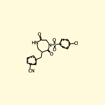 N#Cc1cccc(CC2CNC(=O)CN(S(=O)(=O)c3ccc(Cl)cc3)C2=O)c1